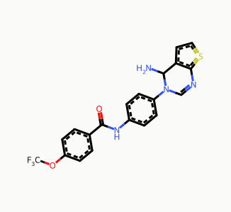 NC1c2ccsc2N=CN1c1ccc(NC(=O)c2ccc(OC(F)(F)F)cc2)cc1